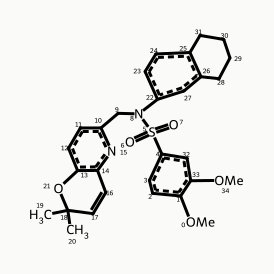 COc1ccc(S(=O)(=O)N(Cc2ccc3c(n2)C=CC(C)(C)O3)c2ccc3c(c2)CCCC3)cc1OC